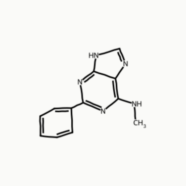 CNc1nc(-c2ccccc2)nc2[nH]cnc12